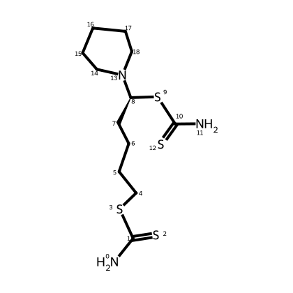 NC(=S)SCCCC[C@H](SC(N)=S)N1CCCCC1